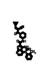 Cc1ccccc1N1C(=O)Nc2c(C(=O)N[C@H]3CCCN(C(=O)/C(C#N)=C/C4CC4)C3)sc3nccc1c23